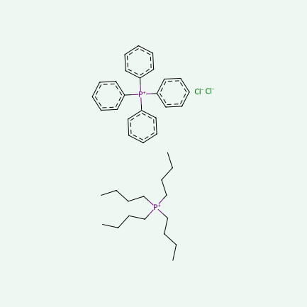 CCCC[P+](CCCC)(CCCC)CCCC.[Cl-].[Cl-].c1ccc([P+](c2ccccc2)(c2ccccc2)c2ccccc2)cc1